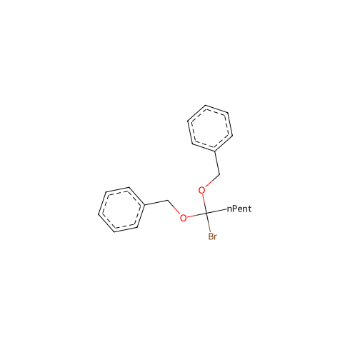 CCCCCC(Br)(OCc1ccccc1)OCc1ccccc1